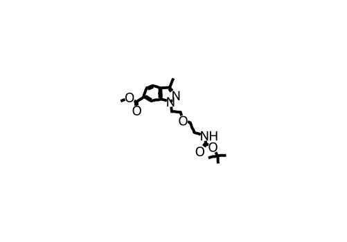 COC(=O)c1ccc2c(C)nn(CCOCCNC(=O)OC(C)(C)C)c2c1